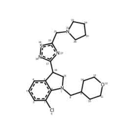 Clc1cccc2c1N(CC1CCOCC1)CC2c1nsc(CN2CCCC2)n1